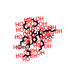 CCCCCCCCCCCC(CO[C@@H]1OC(CO)[C@@H](O)C(O)C1O)(CO[C@@H]1OC(CO)[C@@H](O)C(O)C1O)Cc1cc(C[C@](CCCCCCCCCCC)(CO[C@@H]2OC(CO)[C@@H](O)C(O)C2O)CO[C@H](O)/C(O)=C(/O)[C@H](O)CCO)ccc1CC(CCCCCCCCCCC)(COC(O)/C(O)=C(\O)[C@H](O)CCO)CO[C@H](O)/C(O)=C(/O)[C@H](O)CCO